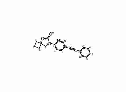 O=C1OC2(CCC2)CN1c1ccc(C#Cc2ccccc2)cn1